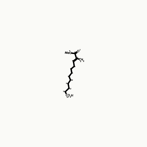 COC(=O)C(C)=CCCCCCCCCC(=O)O